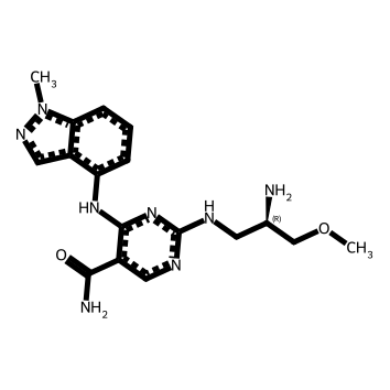 COC[C@H](N)CNc1ncc(C(N)=O)c(Nc2cccc3c2cnn3C)n1